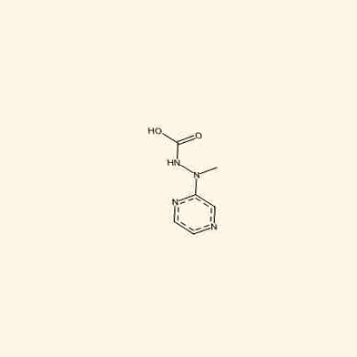 CN(NC(=O)O)c1cnccn1